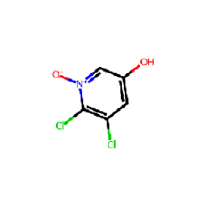 [O-][n+]1cc(O)cc(Cl)c1Cl